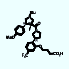 COc1ccc([C@@H]2CN(C(C)(C)C)C[C@@]2(F)C(=O)N2CC[C@@H](c3ccc(C(F)(F)F)cc3OCCCC(=O)O)C2)cc1